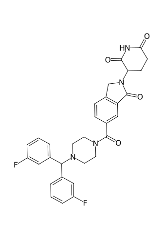 O=C1CCC(N2Cc3ccc(C(=O)N4CCN(C(c5cccc(F)c5)c5cccc(F)c5)CC4)cc3C2=O)C(=O)N1